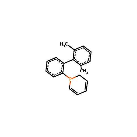 Cc1cccc(C)c1-c1ccccc1P1C=CC=CC1